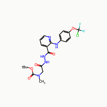 CN(CC(=O)NNC(=O)c1cccnc1Nc1ccc(OC(F)(F)Cl)cc1)C(=O)OC(C)(C)C